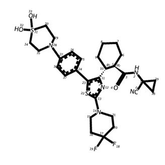 N#CC1(NC(=O)[C@@H]2CCCC[C@H]2c2nc(N3CCC(F)(F)CC3)sc2-c2ccc(N3CCS(O)(O)CC3)cc2)CC1